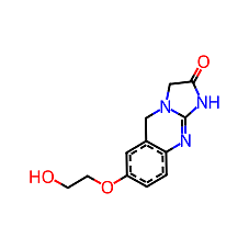 O=C1CN2Cc3cc(OCCO)ccc3N=C2N1